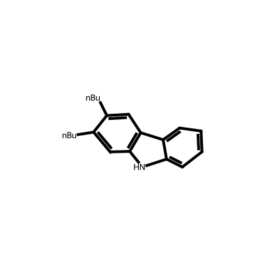 CCCCc1[c]c2[nH]c3ccccc3c2cc1CCCC